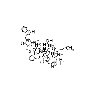 CCCC[C@H](NC(C)=O)C(=O)N[C@@H](C)C(=O)N[C@@H](Cc1c[nH]cn1)C(=O)N[C@H](Cc1ccccc1)C(=O)N[C@H]1CC2(CNC(=N)N)CC[C@H](C(=O)N[C@H](Cc3c[nH]c4ccccc34)C(N)=O)N2C1=O